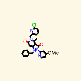 COc1ccnc(-n2c(=O)c3c(C)n(Cc4cccc(Cl)n4)c(=O)cc3n2Cc2ccccc2)c1